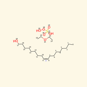 CCCCCCCC/C=C\CCCCCCCCO.CCOCC.O=S(=O)(O)OO